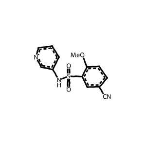 COc1ccc(C#N)cc1S(=O)(=O)Nc1cccnc1